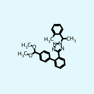 COC(OC)c1ccc(-c2ccccc2-c2nnn(C(C)c3ccccc3C)n2)cc1